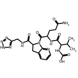 CC(C)C(NC(=O)O)C(=O)NC(CCC(N)=O)C(=O)N1c2ncccc2CC1C(=O)NCc1nn[nH]n1